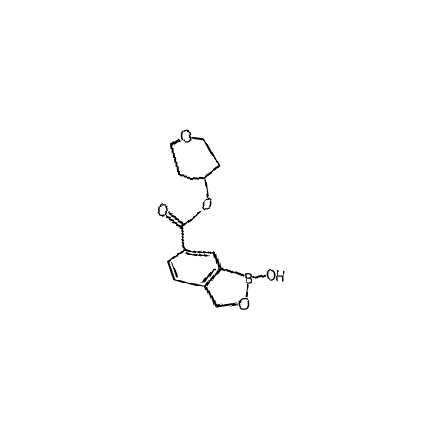 O=C(OC1CCOCC1)c1ccc2c(c1)B(O)OC2